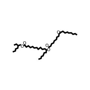 CCCCCCCCC1OC1CCCCCCCC(=O)OC(CCCCCC)CCCCCCCCCCC(=O)OCC(CC)CCCC